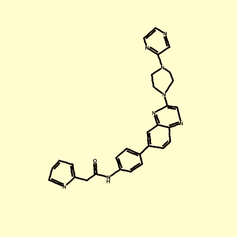 O=C(Cc1ccccn1)Nc1ccc(-c2ccc3ncc(N4CCN(c5cnccn5)CC4)nc3c2)cc1